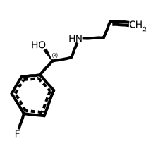 C=CCNC[C@H](O)c1ccc(F)cc1